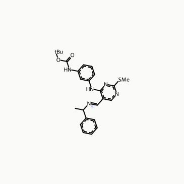 CSc1ncc(/C=N/C(C)c2ccccc2)c(Nc2cccc(NC(=O)OC(C)(C)C)c2)n1